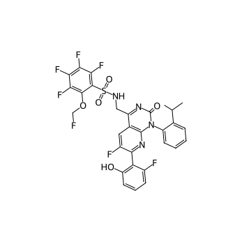 CC(C)c1ccccc1-n1c(=O)nc(CNS(=O)(=O)c2c(F)c(F)c(F)c(F)c2OCF)c2cc(F)c(-c3c(O)cccc3F)nc21